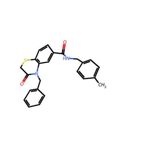 Cc1ccc(CNC(=O)c2ccc3c(c2)N(Cc2ccccc2)C(=O)CS3)cc1